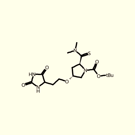 CN(C)C(=S)[C@@H]1C[C@@H](OCCC2NC(=O)NC2=O)CN1C(=O)OC(C)(C)C